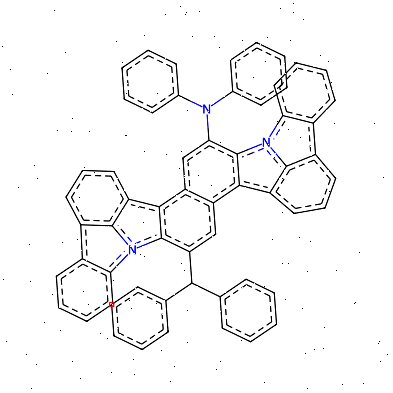 c1ccc(C(c2ccccc2)c2cc3c(cc(N(c4ccccc4)c4ccccc4)c4c3c3cccc5c6ccccc6n4c53)c3c4cccc5c6ccccc6n(c23)c54)cc1